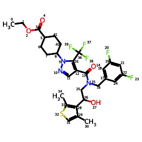 CCOC(=O)C1CCC(n2ncc(C(=O)N(Cc3cc(F)cc(F)c3)CC(O)c3c(C)csc3C)c2C(F)(F)F)CC1